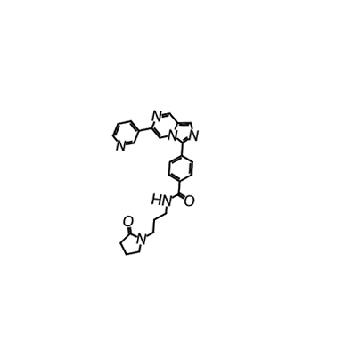 O=C(NCCCN1CCCC1=O)c1ccc(-c2ncc3cnc(-c4cccnc4)cn23)cc1